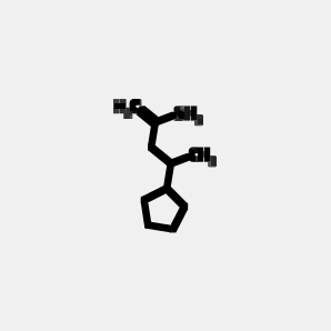 C=C([SiH3])CC(C)C1CCCC1